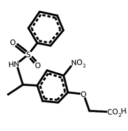 CC(NS(=O)(=O)c1ccccc1)c1ccc(OCC(=O)O)c([N+](=O)[O-])c1